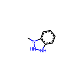 CN1NNc2ccccc21